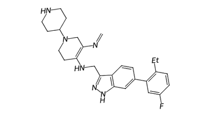 C=NC1=C(NCc2n[nH]c3cc(-c4cc(F)ccc4CC)ccc23)CCN(C2CCNCC2)C1